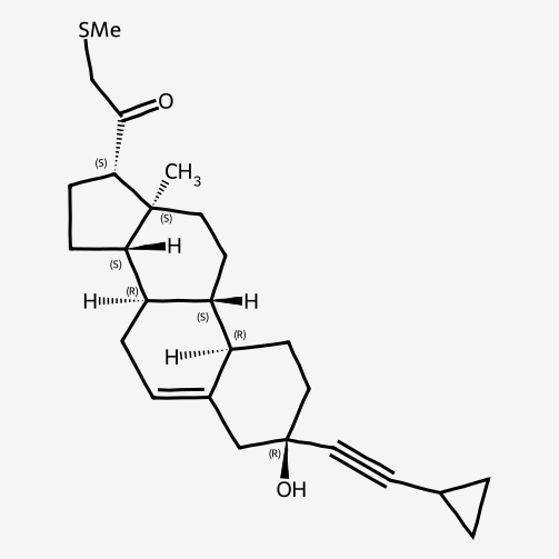 CSCC(=O)[C@H]1CC[C@H]2[C@@H]3CC=C4C[C@@](O)(C#CC5CC5)CC[C@@H]4[C@H]3CC[C@]12C